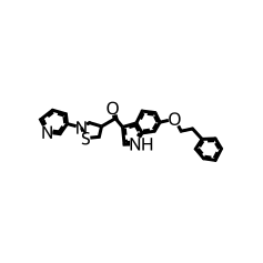 O=C(c1c[nH]c2cc(OCCc3ccccc3)ccc12)C1CSN(c2cccnc2)C1